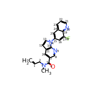 C=CCN(C)C(=O)c1cnc2c(ccn2-c2cc(F)c3ncccc3c2)c1